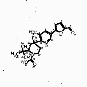 Cc1cc(-c2ccc(C=O)o2)cnc1C1(F)CCN(C(=O)O)C(C(C)(C)C)C1